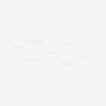 CCSc1ccc(-c2ccc(OC(=O)O)cc2)cc1